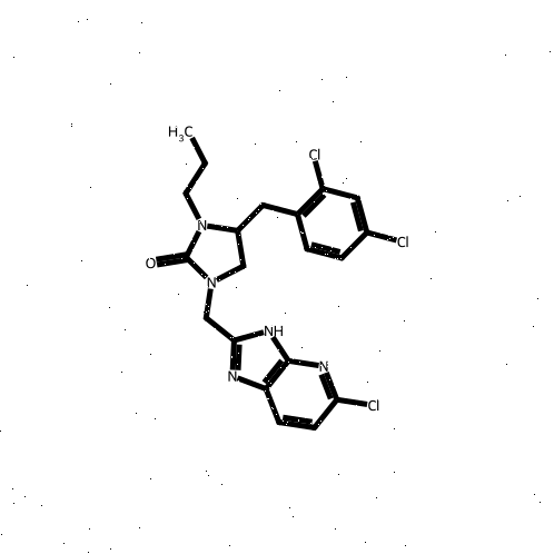 CCCN1C(=O)N(Cc2nc3ccc(Cl)nc3[nH]2)CC1Cc1ccc(Cl)cc1Cl